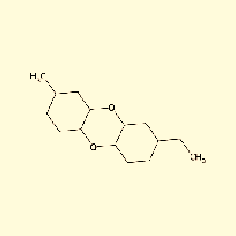 CCC1CCC2OC3CCC(C)CC3OC2C1